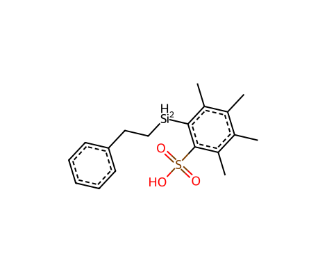 Cc1c(C)c(C)c(S(=O)(=O)O)c([SiH2]CCc2ccccc2)c1C